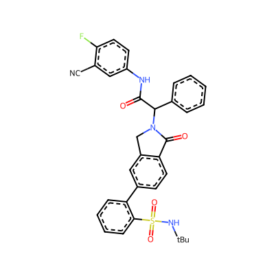 CC(C)(C)NS(=O)(=O)c1ccccc1-c1ccc2c(c1)CN(C(C(=O)Nc1ccc(F)c(C#N)c1)c1ccccc1)C2=O